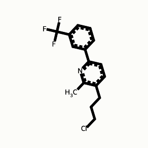 Cc1nc(-c2cccc(C(F)(F)F)c2)ccc1CCCCl